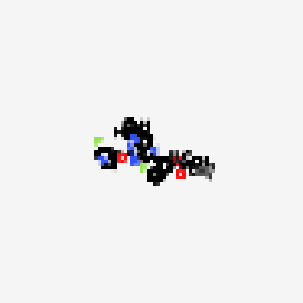 CC(C)(C)C(=O)Oc1cc(-c2nc3c4c(nc(OC[C@@]56CCCN5C[C@H](F)C6)nc4c2F)N2C[C@H]4CC[C@H](C4)[C@H]2CC3)c2ccccc2c1